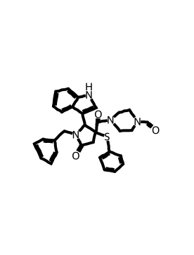 O=CN1CCN(C(=O)C2(Sc3ccccc3)CC(=O)N(Cc3ccccc3)C2c2c[nH]c3ccccc23)CC1